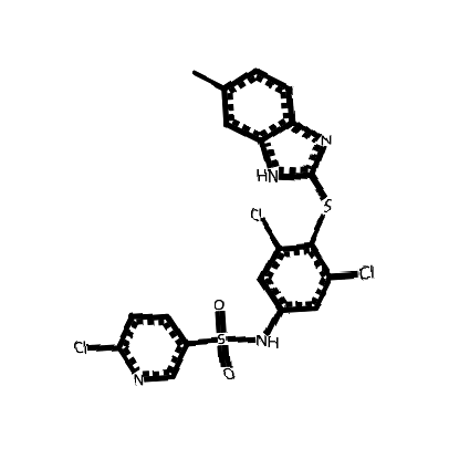 Cc1ccc2nc(Sc3c(Cl)cc(NS(=O)(=O)c4ccc(Cl)nc4)cc3Cl)[nH]c2c1